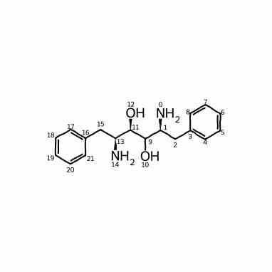 N[C@@H](Cc1ccccc1)C(O)[C@H](O)[C@@H](N)Cc1ccccc1